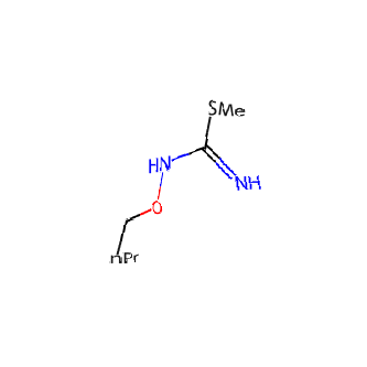 CCCCONC(=N)SC